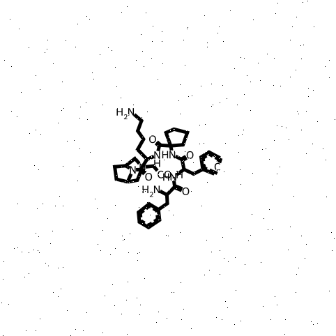 NCCCCC(NC(=O)C1(NC(=O)C(Cc2ccccc2)NC(=O)C(N)Cc2ccccc2)CCCC1)C(=O)N1C2CCC1CN(CC(=O)O)C2